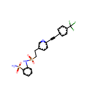 NS(=O)(=O)c1ccccc1NS(=O)(=O)CCc1ccc(C#Cc2ccc(C(F)(F)F)cc2)nc1